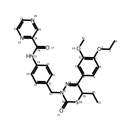 CCOc1ccc(C2=NN(Cc3ccc(NC(=O)c4cnccn4)cc3)C(=O)SC2CC)cc1OC